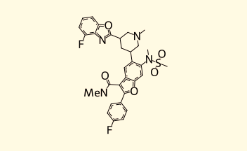 CNC(=O)c1c(-c2ccc(F)cc2)oc2cc(N(C)S(C)(=O)=O)c(C3CC(c4nc5c(F)cccc5o4)CN(C)C3)cc12